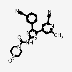 Cc1cc(-c2sc(NC(=O)N3CC[S+]([O-])CC3)nc2-c2cccc(C#N)c2)cc(C#N)n1